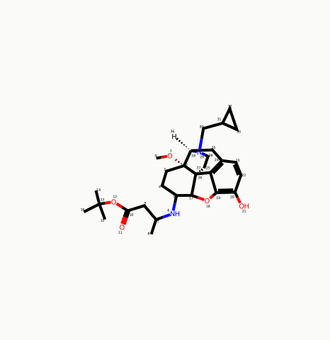 CO[C@@]12CCC(NC(C)CC(=O)OC(C)(C)C)C3Oc4c(O)ccc5c4[C@@]31CCN(CC1CC1)[C@@H]2C5